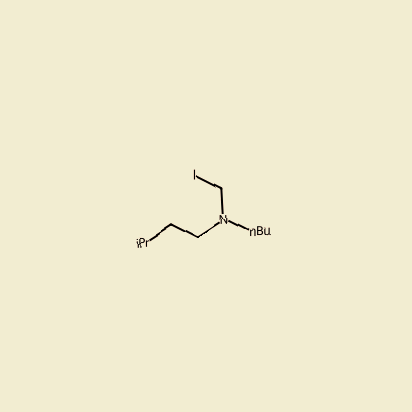 CCCCN(CI)CCC(C)C